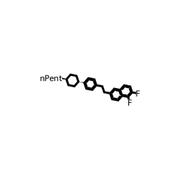 CCCCC[C@H]1CC[C@H](c2ccc(CCc3ccc4c(F)c(F)ccc4c3)cc2)CC1